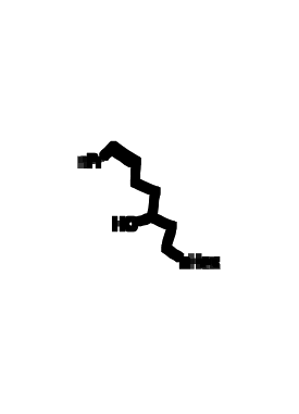 CCC/C=C\CCC(O)CCCCCCCC